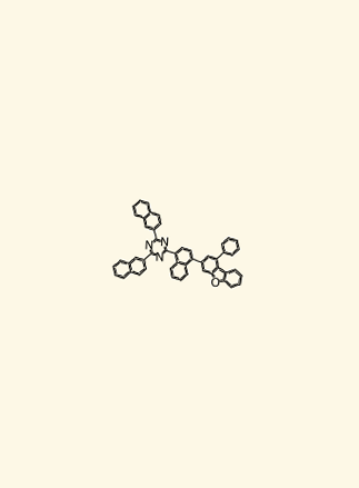 c1ccc(-c2cc(-c3ccc(-c4nc(-c5ccc6ccccc6c5)nc(-c5ccc6ccccc6c5)n4)c4ccccc34)cc3oc4ccccc4c23)cc1